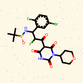 CC(C)(C)[S@@+]([O-])NC(c1cc(Br)ccc1F)C(F)C(=O)C1C(=O)NC(=O)N(C2CCOCC2)C1=O